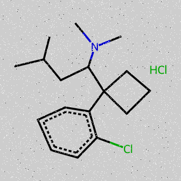 CC(C)CC(N(C)C)C1(c2ccccc2Cl)CCC1.Cl